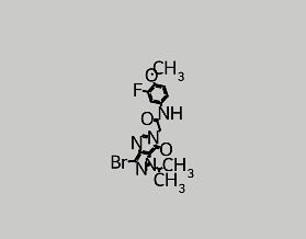 COc1ccc(NC(=O)Cn2cnc3c(Br)nn(C(C)C)c3c2=O)cc1F